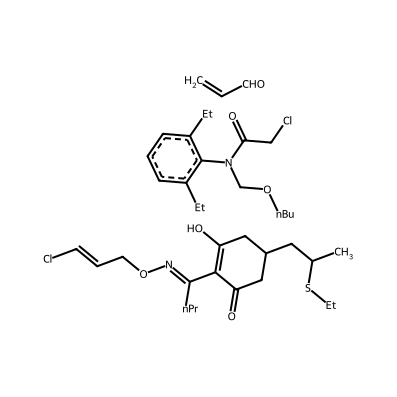 C=CC=O.CCC/C(=N\OC/C=C/Cl)C1=C(O)CC(CC(C)SCC)CC1=O.CCCCOCN(C(=O)CCl)c1c(CC)cccc1CC